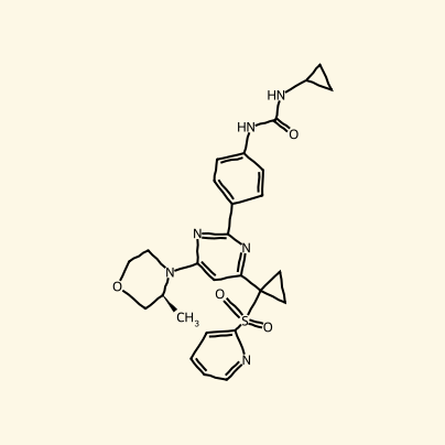 C[C@H]1COCCN1c1cc(C2(S(=O)(=O)c3ccccn3)CC2)nc(-c2ccc(NC(=O)NC3CC3)cc2)n1